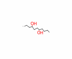 [CH2]CCC(O)CCC(O)CCCC